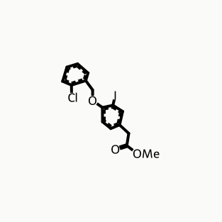 COC(=O)Cc1ccc(OCc2ccccc2Cl)c(I)c1